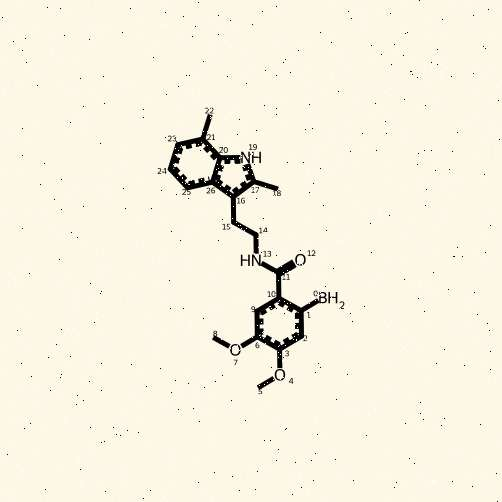 Bc1cc(OC)c(OC)cc1C(=O)NCCc1c(C)[nH]c2c(C)cccc12